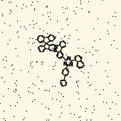 C1=C2C(=CN3B1c1ccc(-c4nc(-c5ccc(-c6ccccc6)cc5)nc(-c5cccc6ccccc56)n4)cc1-c1ccccc13)C1(c3ccccc32)c2ccccc2-c2ccccc21